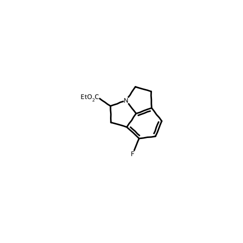 CCOC(=O)C1Cc2c(F)ccc3c2N1CC3